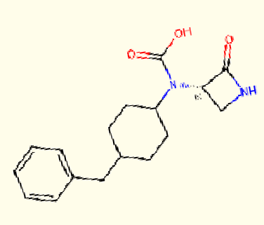 O=C1NC[C@@H]1N(C(=O)O)C1CCC(Cc2ccccc2)CC1